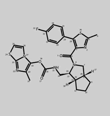 Cc1nc(C(=O)N2C[C@@H]3CCC[C@@H]3[C@H]2CNC(=O)Oc2c(C)nc3sccn23)c(-c2ccc(F)cc2)s1